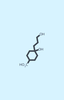 O=C(O)C1CCC(O)(CCCO)CC1